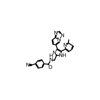 Cc1cccc(-c2[nH]c(CNC(=O)c3ccc(C#N)cc3)nc2-c2ccc3ncnn3c2)n1